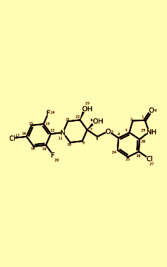 O=C1Cc2c(OC[C@]3(O)CCN(c4c(F)cc(Cl)cc4F)C[C@H]3O)ccc(Cl)c2N1